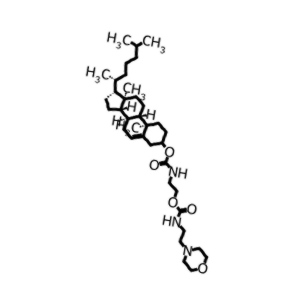 CC(C)CCC[C@@H](C)[C@H]1CC[C@H]2[C@@H]3CC=C4CC(OC(=O)NCCOC(=O)NCCN5CCOCC5)CC[C@]4(C)[C@H]3CC[C@]12C